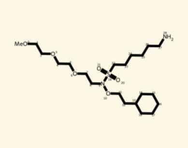 COCCOCCOCCN(OCCC1CCCCC1)S(=O)(=O)CCCCCCN